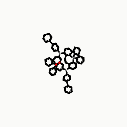 C1=Cc2c(N(c3ccc(-c4ccccc4)cc3)c3ccc(-c4ccccc4)cc3)cccc2[Si](c2ccccc2)(c2ccccc2)c2cccc(N(c3ccc(-c4ccccc4)cc3)c3ccc(-c4ccccc4)cc3)c21